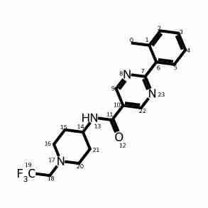 Cc1ccccc1-c1ncc(C(=O)NC2CCN(CC(F)(F)F)CC2)cn1